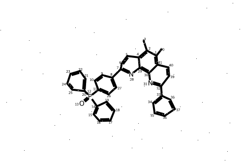 Cc1c(C)c2ccc(-c3ccc(P(=O)(c4ccccc4)c4ccccc4)cc3)nc2c2nc(-c3ccccc3)ccc12